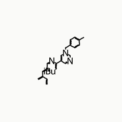 C=CC(=C)/C=C(C)/C=N\C(=C/C(C)CC)C1=CN(Cc2ccc(C)cc2)CN=C1